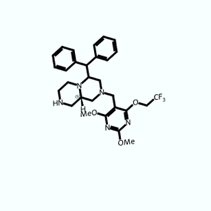 COc1nc(OC)c(CN2CC(C(c3ccccc3)c3ccccc3)N3CCNC[C@H]3C2)c(OCC(F)(F)F)n1